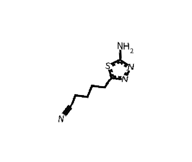 N#CCCCCc1nnc(N)s1